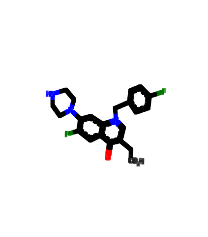 O=C(O)Cc1cn(Cc2ccc(F)cc2)c2cc(N3CCNCC3)c(F)cc2c1=O